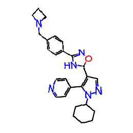 c1cc(-c2c(C3NC(c4ccc(CN5CCC5)cc4)=NO3)cnn2C2CCCCC2)ccn1